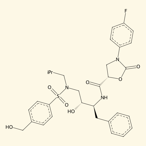 CC(C)CN(C[C@@H](O)[C@H](Cc1ccccc1)NC(=O)[C@@H]1CN(c2ccc(F)cc2)C(=O)O1)S(=O)(=O)c1ccc(CO)cc1